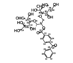 O=C[C@H](O)[C@@H](OCC(CO[C@@H]([C@H](O)[C@H](O)CO)[C@@H](O)C=O)OC(=O)c1ccc(C(=O)c2ccccc2)cc1)[C@H](O)[C@H](O)CO